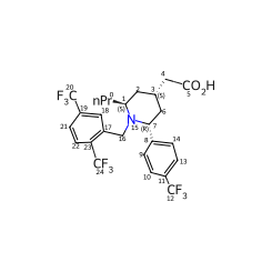 CCC[C@H]1C[C@H](CC(=O)O)C[C@H](c2ccc(C(F)(F)F)cc2)N1Cc1cc(C(F)(F)F)ccc1C(F)(F)F